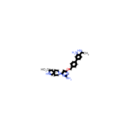 CC(=N)c1ccc(-c2ccc(COc3cc(N4CCC5(CC4)CN[C@H](C(=O)O)C5)nc(N)n3)cc2)cc1N